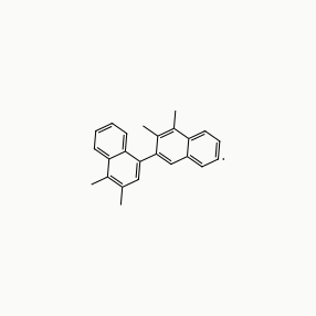 Cc1cc(-c2cc3c[c]ccc3c(C)c2C)c2ccccc2c1C